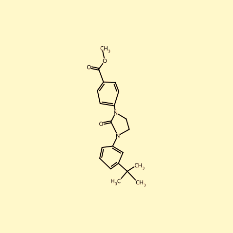 COC(=O)c1ccc(N2CCN(c3cccc(C(C)(C)C)c3)C2=O)cc1